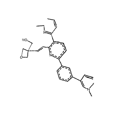 C=C/C(=C\N(C)C)c1cccc(-c2ccc(C(/C=C\C)=N/CC)c(/C=C/C3(CO)COC3)n2)c1